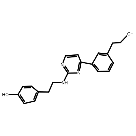 OCCc1cccc(-c2ccnc(NCCc3ccc(O)cc3)n2)c1